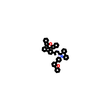 C=C(/C=C\C=C(/C)N(c1ccc(-c2cccc3c2oc2ccccc23)cc1)c1ccccc1-c1ccccc1)c1ccc2c(c1)C1(c3ccccc3-2)c2ccc3ccccc3c2Oc2c1ccc1ccccc21